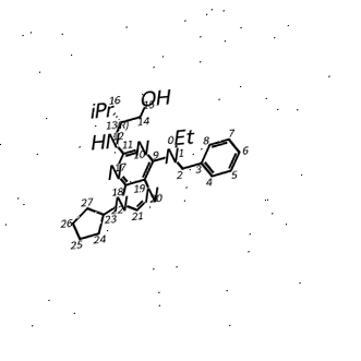 CCN(Cc1ccccc1)c1nc(N[C@@H](CO)C(C)C)nc2c1ncn2C1CCCC1